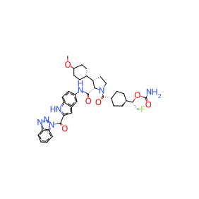 CO[C@H]1CC[C@H]([C@@H]2CCN(C(=O)[C@H]3CC[C@H]([C@@H](CF)OC(N)=O)CC3)[C@@H]2C(=O)Nc2ccc3[nH]c(C(=O)n4nnc5ccccc54)cc3c2)CC1